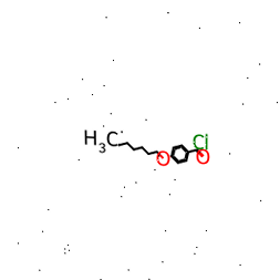 CCCCCCCOc1ccc(C(=O)Cl)cc1